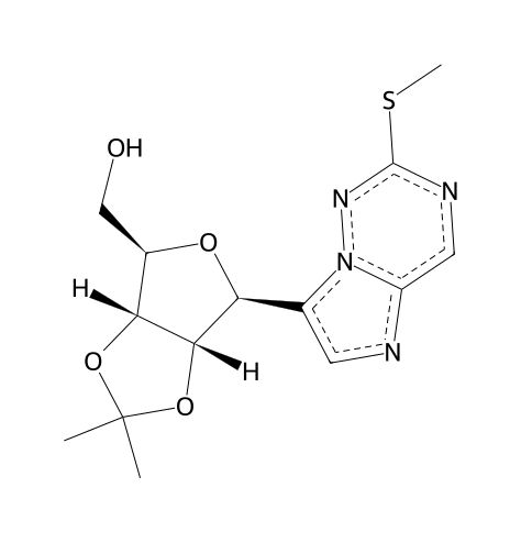 CSc1ncc2ncc([C@@H]3O[C@H](CO)[C@H]4OC(C)(C)O[C@H]43)n2n1